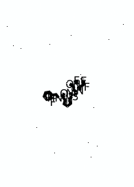 CCn1c(C(F)F)nc2sc(N3CCCC3C(=O)NCc3ccccc3F)nc2c1=O